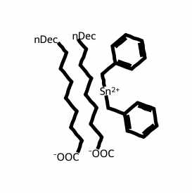 CCCCCCCCCCCCCCCCCC(=O)[O-].CCCCCCCCCCCCCCCCCC(=O)[O-].c1ccc([CH2][Sn+2][CH2]c2ccccc2)cc1